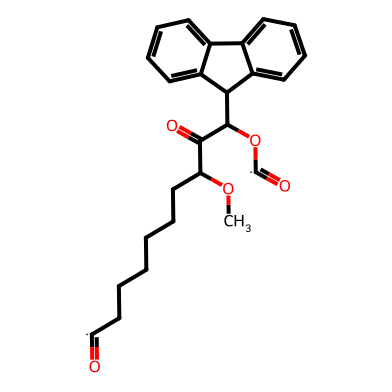 COC(CCCCCC[C]=O)C(=O)C(O[C]=O)C1c2ccccc2-c2ccccc21